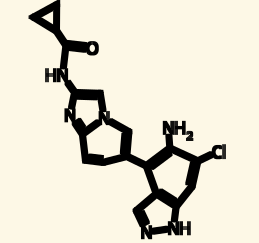 Nc1c(Cl)cc2[nH]ncc2c1-c1ccc2nc(NC(=O)C3CC3)cn2c1